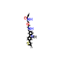 C#CC(=O)NCCOCCNCc1ccc2c(c1)c1ccc(-c3cc(C)cs3)cc1n2CC